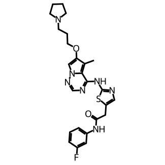 Cc1c(OCCCN2CCCC2)cn2ncnc(Nc3ncc(CC(=O)Nc4cccc(F)c4)s3)c12